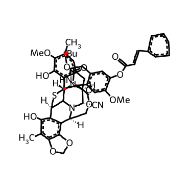 COc1cc2c(cc1OC(=O)/C=C/c1ccccc1)CCN[C@]21CS[C@@H]2c3c(O)c(C)c4c(c3[C@H](COC1=O)N1C2[C@@H]2c3c(cc(C)c(OC)c3O)C[C@@H]([C@@H]1C#N)N2C(=O)OC(C)(C)C)OCO4